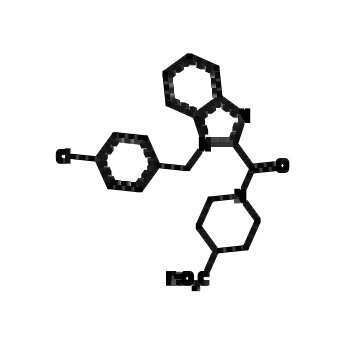 CCOC(=O)C1CCN(C(=O)c2nc3ccccc3n2Cc2ccc(Cl)cc2)CC1